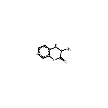 CC1Nc2ccccc2OC1=O